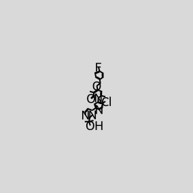 Cc1c(OCc2ccc(F)cc2)cc(C)n(-c2cc(-c3ccnc(C(C)(C)O)n3)ncc2Cl)c1=O